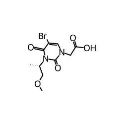 COC[C@H](C)n1c(=O)c(Br)cn(CC(=O)O)c1=O